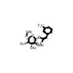 CCOC(=O)C(=Cc1cccc(C(F)(F)F)c1)O[C@H]1O[C@@H](COC(C)=O)[C@H](OC(C)=O)[C@@H](OC(C)=O)[C@@H]1OC(C)=O